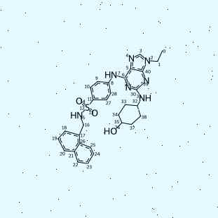 CCn1cnc2c(Nc3ccc(S(=O)(=O)NCc4cccc5ccccc45)cc3)nc(NC3CCC(O)CC3)nc21